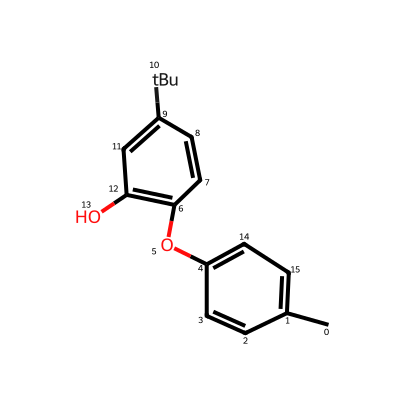 Cc1ccc(Oc2ccc(C(C)(C)C)cc2O)cc1